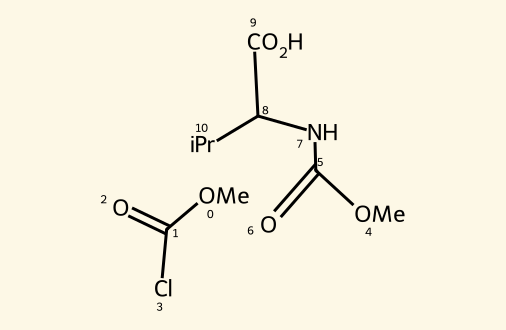 COC(=O)Cl.COC(=O)NC(C(=O)O)C(C)C